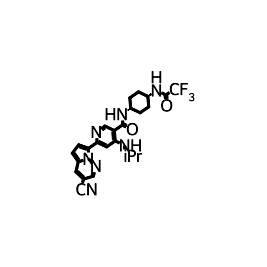 CC(C)Nc1cc(-c2ccc3cc(C#N)cnn23)ncc1C(=O)N[C@H]1CC[C@H](NC(=O)C(F)(F)F)CC1